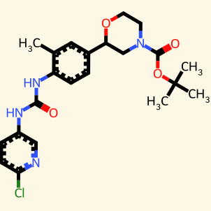 Cc1cc(C2CN(C(=O)OC(C)(C)C)CCO2)ccc1NC(=O)Nc1ccc(Cl)nc1